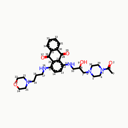 CC(=O)N1CCN(CC(O)CNc2ccc(NCCCN3CCOCC3)c3c2C(=O)c2ccccc2C3=O)CC1